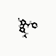 COc1ccc(C(=O)Nc2ccncc2)c2c1oc1ccc(NC(C)=O)cc12